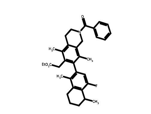 CCOC(=O)Cc1c(C)c2c(c(C)c1-c1cc(F)c3c(c1C)CCCC3C)CN(C(=O)c1ccccc1)CC2